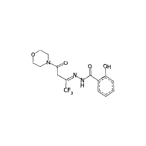 O=C(NN=C(CC(=O)N1CCOCC1)C(F)(F)F)c1ccccc1O